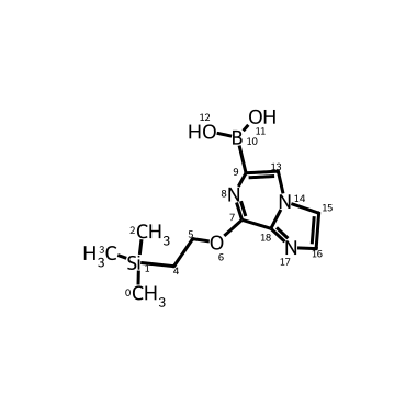 C[Si](C)(C)CCOc1nc(B(O)O)cn2ccnc12